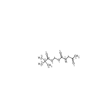 [CH2]C(=O)CNC(=O)OCOC(=O)C(C)(C)C